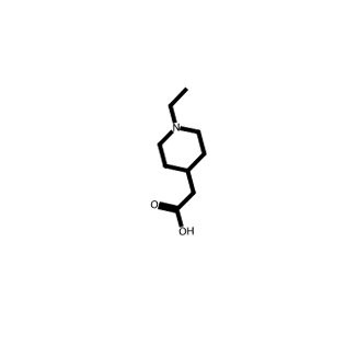 CCN1CCC(CC(=O)O)CC1